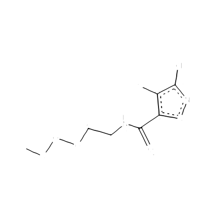 CSOOCCNC(=O)c1snc(Cl)c1Cl